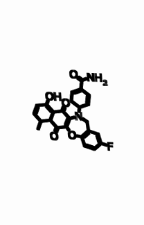 CC1C=CC(O)=C2C(=O)C3=C(Oc4ccc(F)cc4CN3C3C=CC(C(N)=O)=CC3)C(=O)C21